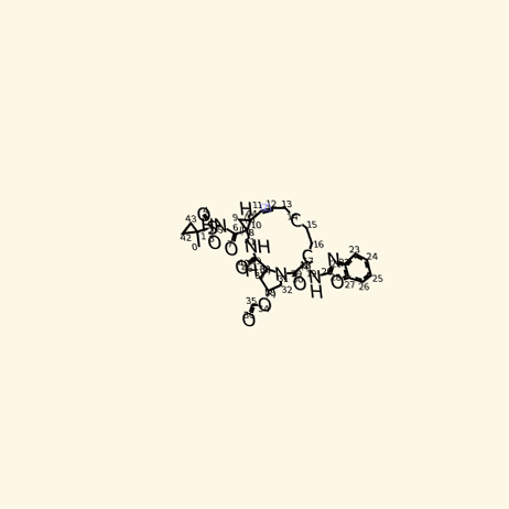 CC1(S(=O)(=O)NC(=O)[C@@]23C[C@H]2/C=C\CCCCC[C@H](Nc2nc4ccccc4o2)C(=O)N2C[C@H](OC=O)C[C@H]2C(=O)N3)CC1